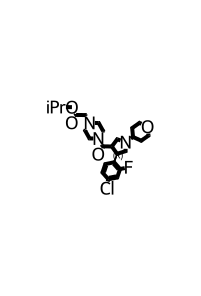 CC(C)OC(=O)CN1CCN(C(=O)C2CN(C3CCOCC3)C[C@H]2c2ccc(Cl)cc2F)CC1